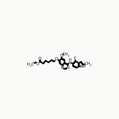 CCOC(=O)CCCCCOc1cc2ncnc(Nc3ccc4[nH]c(C)cc4c3F)c2cc1OC